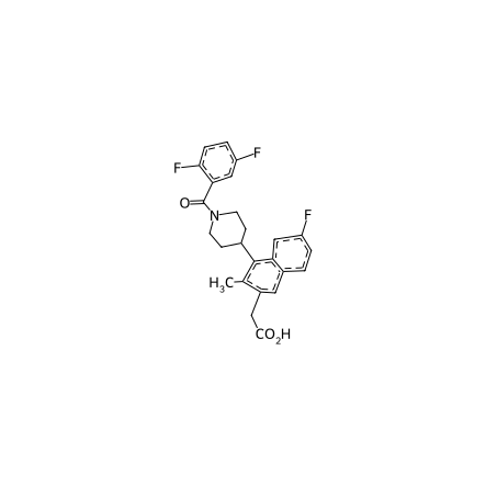 Cc1c(CC(=O)O)cc2ccc(F)cc2c1C1CCN(C(=O)c2cc(F)ccc2F)CC1